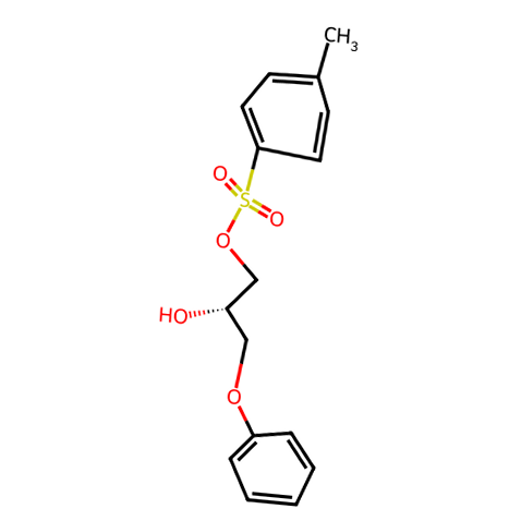 Cc1ccc(S(=O)(=O)OC[C@@H](O)COc2ccccc2)cc1